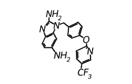 Nc1ccc2nc(N)n(Cc3ccc(Oc4ccc(C(F)(F)F)cn4)cc3)c2c1